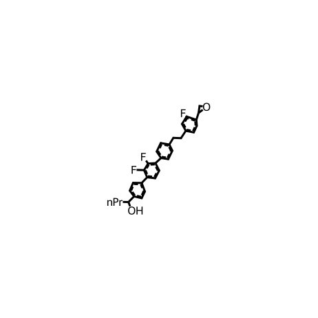 CCCC(O)c1ccc(-c2ccc(-c3ccc(CCc4ccc(C5CO5)c(F)c4)cc3)c(F)c2F)cc1